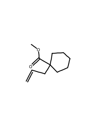 C=CCC1(C(=O)OC)CCCCC1